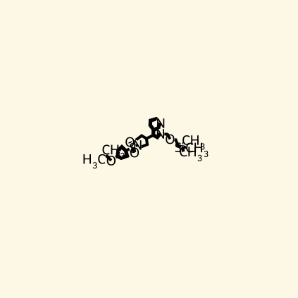 CC(C)Oc1ccc(S(=O)(=O)N2CCC(c3cn(COCC[Si](C)(C)C)c4ncccc34)CC2)cc1